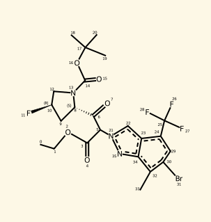 CCOC(=O)C(C(=O)[C@@H]1C[C@@H](F)CN1C(=O)OC(C)(C)C)n1cc2c(C(F)(F)F)cc(Br)c(C)c2n1